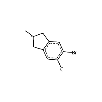 C[C]1Cc2cc(Cl)c(Br)cc2C1